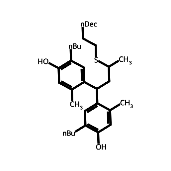 CCCCCCCCCCCCSC(C)CC(c1cc(CCCC)c(O)cc1C)c1cc(CCCC)c(O)cc1C